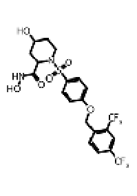 O=C(NO)C1CC(O)CCN1S(=O)(=O)c1ccc(OCc2ccc(C(F)(F)F)cc2C(F)(F)F)cc1